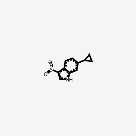 O=[SH](=O)c1c[nH]c2cc(C3CC3)ccc12